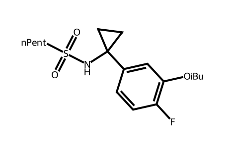 CCCCCS(=O)(=O)NC1(c2ccc(F)c(OCC(C)C)c2)CC1